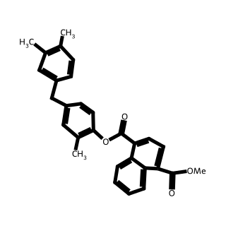 COC(=O)c1ccc(C(=O)Oc2ccc(Cc3ccc(C)c(C)c3)cc2C)c2ccccc12